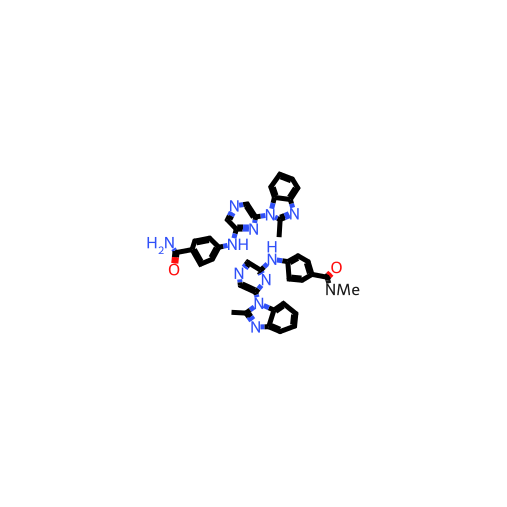 CNC(=O)c1ccc(Nc2cncc(-n3c(C)nc4ccccc43)n2)cc1.Cc1nc2ccccc2n1-c1cncc(Nc2ccc(C(N)=O)cc2)n1